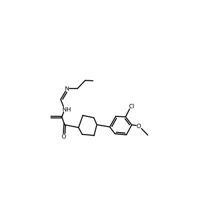 C=C(N/C=N\CCC)C(=O)C1CCC(c2ccc(OC)c(Cl)c2)CC1